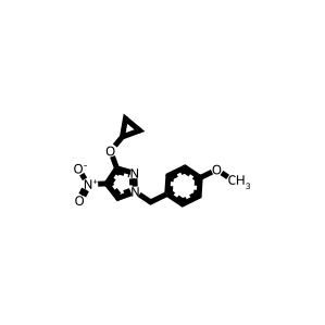 COc1ccc(Cn2cc([N+](=O)[O-])c(OC3CC3)n2)cc1